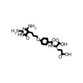 Nc1nc(N)c(CCCOc2ccc(C(=O)N[C@@H](CCC(=O)O)C(=O)O)cc2)c(=O)[nH]1